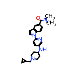 CN(C)C(=O)c1ccc2c(ccn2-c2ccc(NC3CCN(CC4CC4)CC3)cn2)c1